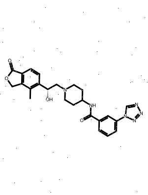 Cc1c([C@@H](O)CN2CCC(NC(=O)c3cccc(-n4cnnn4)c3)CC2)ccc2c1COC2=O